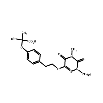 CCCCCCCn1nc(OCCc2ccc(OC(C)(CCC)C(=O)O)cc2)c(=O)n(C)c1=O